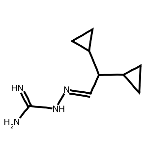 N=C(N)NN=CC(C1CC1)C1CC1